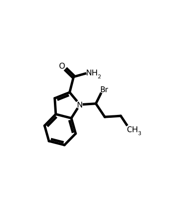 CCCC(Br)n1c(C(N)=O)cc2ccccc21